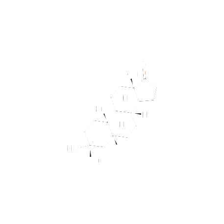 CCC[C@@]1(O)CC[C@@]2(CC)[C@H](CC[C@@H]3[C@@H]2CC[C@]2(C)C(=O)CC[C@@H]32)C1